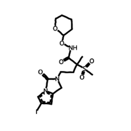 CC(CCN1Cc2cc(I)cn2C1=O)(C(=O)NOC1CCCCO1)S(C)(=O)=O